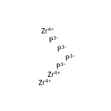 [P-3].[P-3].[P-3].[P-3].[Zr+4].[Zr+4].[Zr+4]